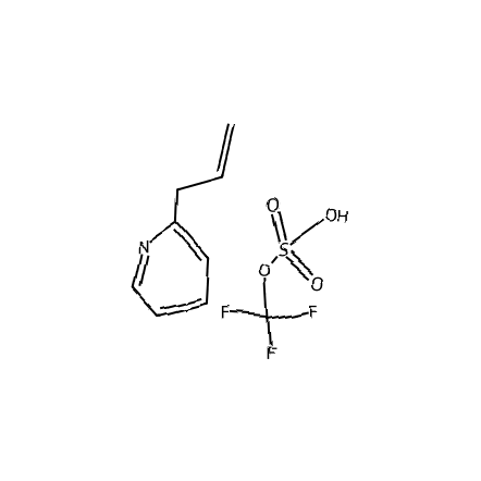 C=CCc1ccccn1.O=S(=O)(O)OC(F)(F)F